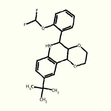 CC(C)(C)c1ccc2c(c1)C1OCCOC1C(c1ccccc1OC(F)F)N2